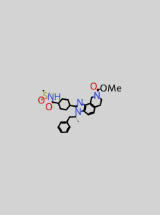 COC(=O)N1CCc2ccc3c(nc(C4CCC(C(=O)N[S+](C)[O-])CC4)n3[C@H](C)Cc3ccccc3)c2C1